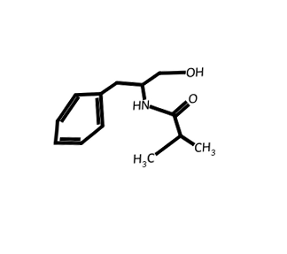 CC(C)C(=O)NC(CO)Cc1ccccc1